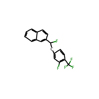 Fc1cc(CC(F)c2ccc3ccccc3c2)ccc1C(F)(F)F